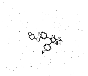 CSc1nc(-c2ccnc(OC3CCOC3)c2)c(-c2ccc(F)cc2)[nH]1